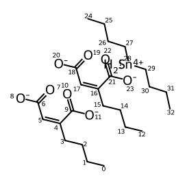 CCCC/C(=C/C(=O)[O-])C(=O)[O-].CCCC/C(=C/C(=O)[O-])C(=O)[O-].CCC[CH2][SnH2+4][CH2]CCC